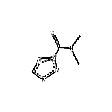 CN(C)C(=O)n1n[c]nn1